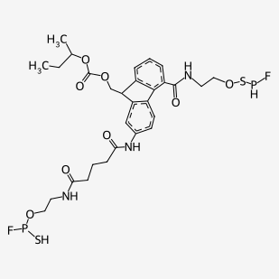 CCC(C)OC(=O)OCC1c2cc(NC(=O)CCCC(=O)NCCOP(F)S)ccc2-c2c(C(=O)NCCOSPF)cccc21